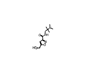 CN(C)C(C)(C)CNC(=O)c1cc(CO)on1